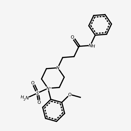 COc1ccccc1[N+]1(S(N)(=O)=O)CCN(CCC(=O)Nc2ccccc2)CC1